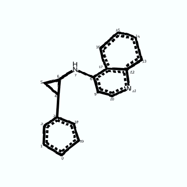 c1ccc(C2CC2Nc2ccnc3ccccc23)cc1